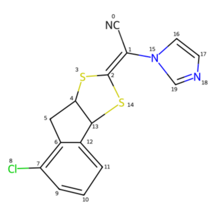 N#C/C(=C1\SC2Cc3c(Cl)cccc3C2S1)n1ccnc1